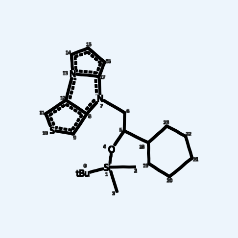 CC(C)(C)[Si](C)(C)OC(Cn1c2cscc2n2cccc12)C1CCCCC1